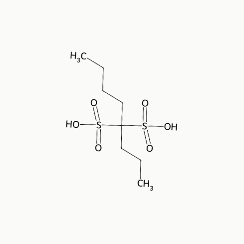 CCCCC(CCC)(S(=O)(=O)O)S(=O)(=O)O